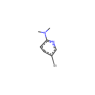 CCc1ccc(N(C)C)nc1